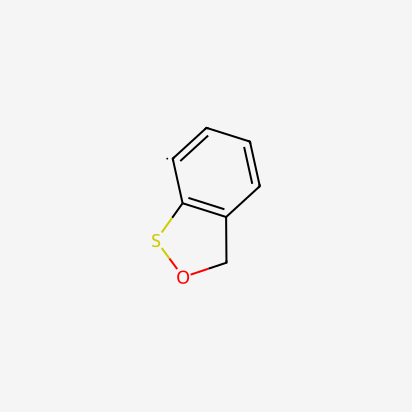 [c]1cccc2c1SOC2